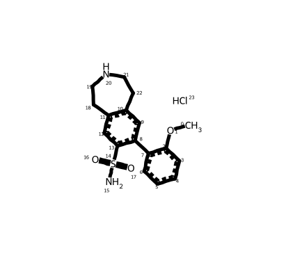 COc1ccccc1-c1cc2c(cc1S(N)(=O)=O)CCNCC2.Cl